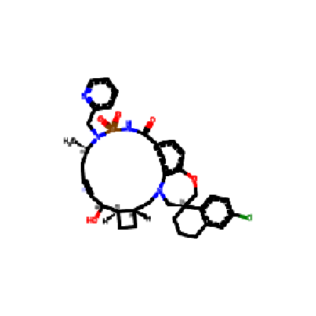 C[C@H]1C/C=C\[C@H](O)[C@@H]2CC[C@H]2CN2C[C@@]3(CCCc4cc(Cl)ccc43)COc3ccc(cc32)C(=O)NS(=O)(=O)N1Cc1ccccn1